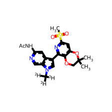 [2H]C([2H])([2H])n1cc(-c2nc(S(C)(=O)=O)cc3c2OCC(C)(C)O3)c2cc(NC(C)=O)ncc21